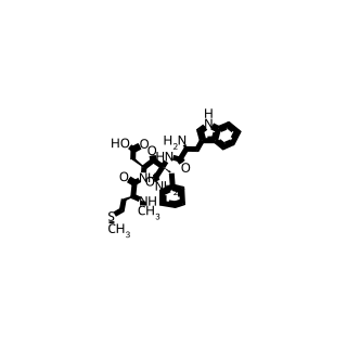 CN[C@@H](CCSC)C(=O)N[C@@H](CC(=O)O)C(=O)[C@@](Cc1ccccc1)(NC(=O)[C@@H](N)Cc1c[nH]c2ccccc12)C(N)=O